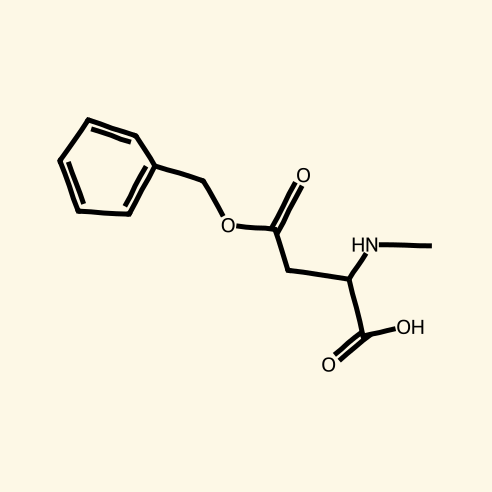 CNC(CC(=O)OCc1ccccc1)C(=O)O